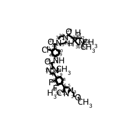 COCCn1cc(-c2ccc(-c3cnc(C(=O)Nc4ccc(C(=O)N5CCN(C(=O)C6[C@H]7C[N+](C)(C)C[C@@H]67)CC5)c(Cl)c4)n3C)c(F)c2F)c(C)n1